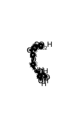 O=C(c1ccc(OCc2ccc(CNC[C@H](O)c3ccc(O)c4[nH]c(=O)ccc34)cc2)cc1)N1CCC(C(=O)O)(c2ccccc2)CC1